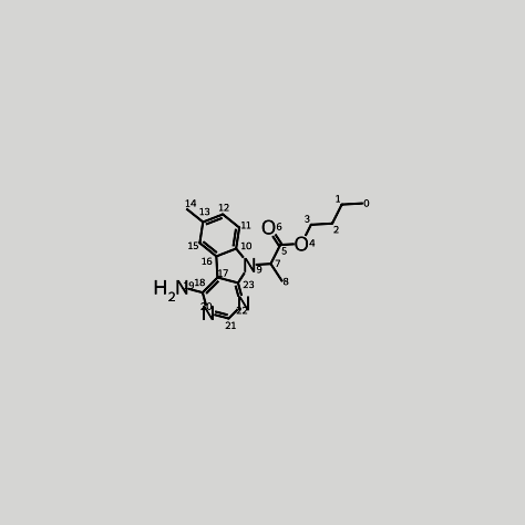 CCCCOC(=O)C(C)n1c2ccc(C)cc2c2c(N)ncnc21